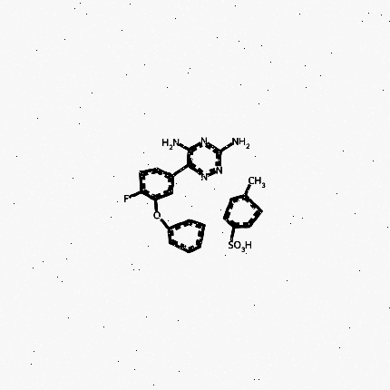 Cc1ccc(S(=O)(=O)O)cc1.Nc1nnc(-c2ccc(F)c(Oc3ccccc3)c2)c(N)n1